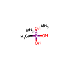 O[PH](O)(O)[GaH2].[AlH3].[InH3]